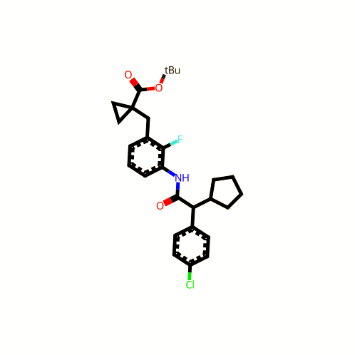 CC(C)(C)OC(=O)C1(Cc2cccc(NC(=O)C(c3ccc(Cl)cc3)C3CCCC3)c2F)CC1